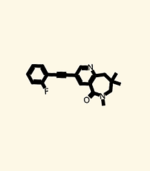 CN1CC(C)(C)Cc2ncc(C#Cc3ccccc3F)cc2C1=O